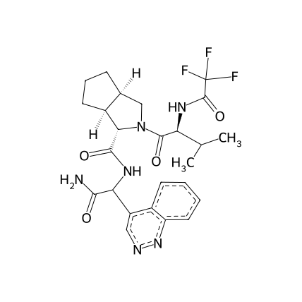 CC(C)[C@H](NC(=O)C(F)(F)F)C(=O)N1C[C@@H]2CCC[C@@H]2[C@H]1C(=O)NC(C(N)=O)c1cnnc2ccccc12